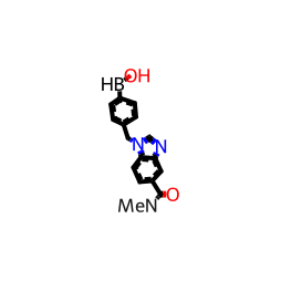 CNC(=O)c1ccc2c(c1)ncn2Cc1ccc(BO)cc1